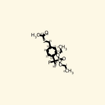 CCOP(=O)(OCC)C(F)(F)c1ccc(CSC(C)=O)cc1